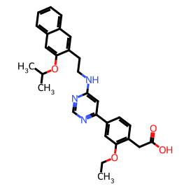 CCOc1cc(-c2cc(NCCc3cc4ccccc4cc3OC(C)C)ncn2)ccc1CC(=O)O